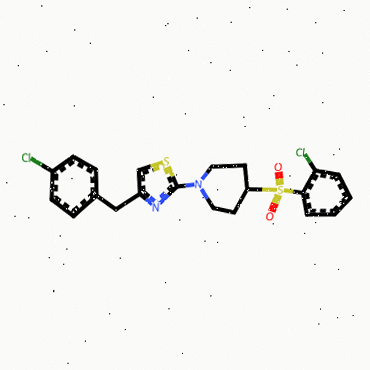 O=S(=O)(c1ccccc1Cl)C1CCN(c2nc(Cc3ccc(Cl)cc3)cs2)CC1